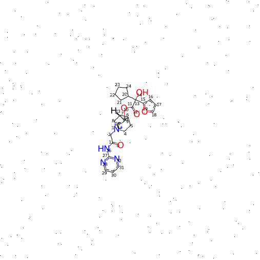 O=C(C[N+]12CCC(CC1)[C@@H](OC(=O)C(O)(c1ccco1)C1CCCC1)C2)Nc1ncccn1